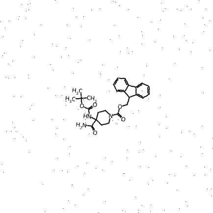 CC(C)(C)OC(=O)NC1(C(N)=O)CCN(C(=O)OCC2c3ccccc3-c3ccccc32)CC1